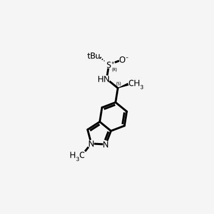 C[C@H](N[S@@+]([O-])C(C)(C)C)c1ccc2nn(C)cc2c1